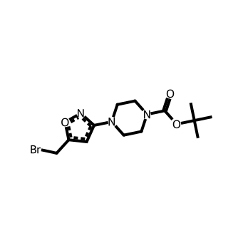 CC(C)(C)OC(=O)N1CCN(c2cc(CBr)on2)CC1